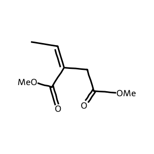 CC=C(CC(=O)OC)C(=O)OC